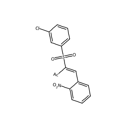 CC(=O)C(=Cc1ccccc1[N+](=O)[O-])S(=O)(=O)c1cccc(Cl)c1